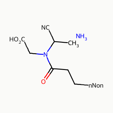 CCCCCCCCCCCC(=O)N(CC(=O)O)C(C)C#N.N